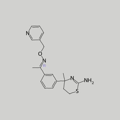 C/C(=N\OCc1cccnc1)c1cccc(C2(C)CCSC(N)=N2)c1